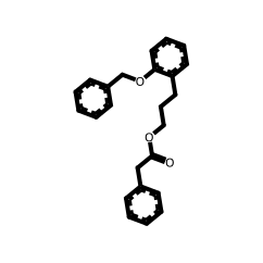 O=C(Cc1ccccc1)OCCCc1ccccc1OCc1ccccc1